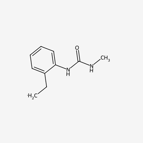 [CH2]Cc1ccccc1NC(=O)NC